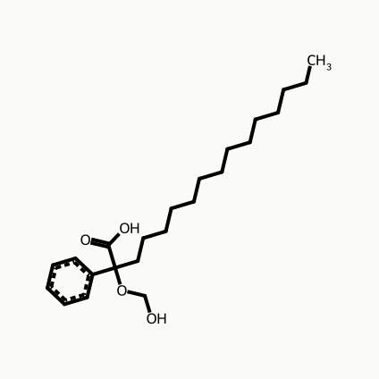 CCCCCCCCCCCCCCC(OCO)(C(=O)O)c1ccccc1